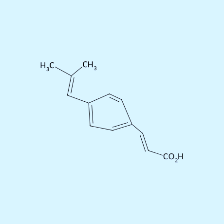 CC(C)=Cc1ccc(C=CC(=O)O)cc1